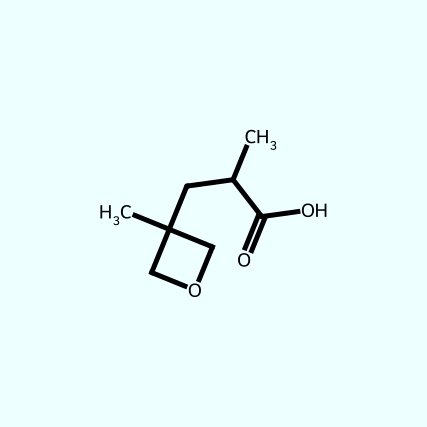 CC(CC1(C)COC1)C(=O)O